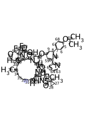 CC(C)Oc1ccc(-c2cc(O[C@@H]3C[C@H]4C(=O)N[C@]5(C(=O)NS(=O)(=O)C6(C)CC6)C[C@H]5/C=C\CC[C@@H](C)C[C@@H](C)[C@H](N(C(=O)O)C5(C(F)(F)F)CCCOC5)C(=O)N4C3)cc(-c3nccs3)n2)cc1